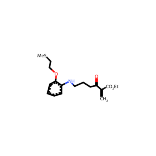 C=C(C(=O)CCCNc1ccccc1OCCSC)C(=O)OCC